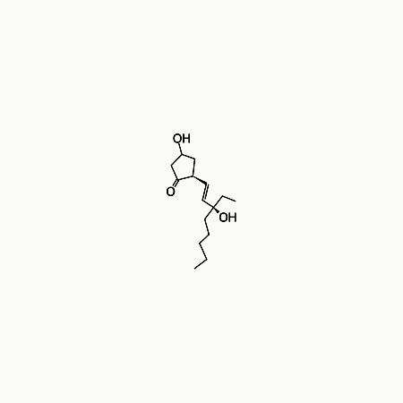 CCCCC[C@](O)(/C=C/[C@@H]1CC(O)CC1=O)CC